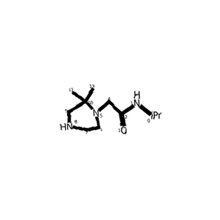 CC(C)NC(=O)CN1CCNCC1(C)C